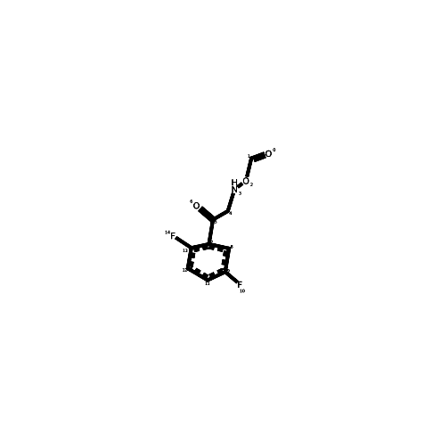 O=CONCC(=O)c1cc(F)ccc1F